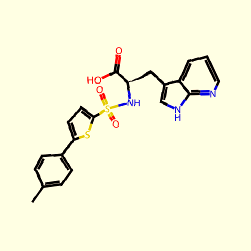 Cc1ccc(-c2ccc(S(=O)(=O)N[C@H](Cc3c[nH]c4ncccc34)C(=O)O)s2)cc1